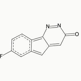 O=C1C=C2C=c3cc(F)ccc3=C2N=N1